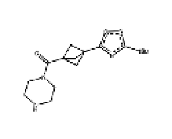 CC(C)(C)c1noc(C23CC(C(=O)N4CCNCC4)(C2)C3)n1